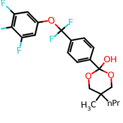 CCCC1(C)COC(O)(c2ccc(C(F)(F)Oc3cc(F)c(F)c(F)c3)cc2)OC1